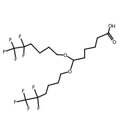 O=C(O)CCCCC(OCCCCC(F)(F)C(F)(F)F)OCCCCC(F)(F)C(F)(F)F